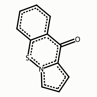 O=c1c2ccccc2sn2cccc12